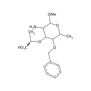 COC1OC(C)C(OCc2ccccc2)C(O[C@H](C)C(=O)O)C1N